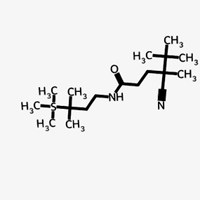 CC(C)(C)C(C)(C#N)CCC(=O)NCCC(C)(C)S(C)(C)C